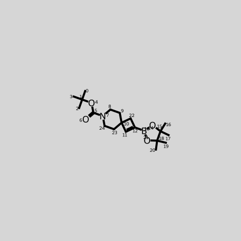 CC(C)(C)OC(=O)N1CCC2(C=C(B3OC(C)(C)C(C)(C)O3)C2)CC1